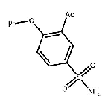 CC(=O)c1cc(S(N)(=O)=O)ccc1OC(C)C